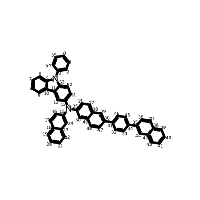 c1ccc(-n2c3ccccc3c3cc(N(c4ccc5ccccc5c4)c4ccc5cc(-c6ccc(-c7ccc8ccccc8c7)cc6)ccc5c4)ccc32)cc1